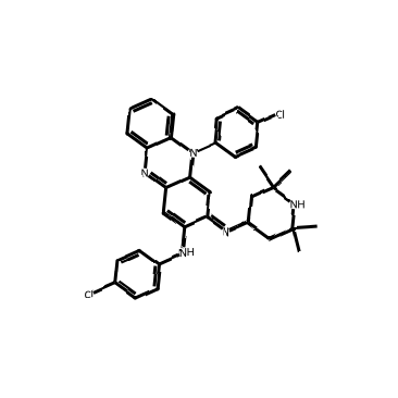 CC1(C)CC(N=c2cc3n(-c4ccc(Cl)cc4)c4ccccc4nc-3cc2Nc2ccc(Cl)cc2)CC(C)(C)N1